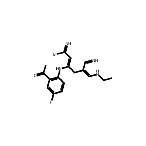 CCN/C=C(\C=N)C/C(=C/C(=N)Br)Nc1ccc(F)cc1C(C)=O